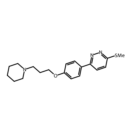 CSc1ccc(-c2ccc(OCCCN3CCCCC3)cc2)nn1